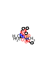 Cc1c(C)n(COCc2ccccc2)c(=O)n(CCC(C(=O)OCc2ccccc2)N(C)S(=O)(=O)c2ccc(Oc3ccccc3)cc2)c1=O